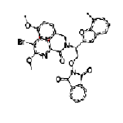 COc1ccc(CN(C(=O)c2ccc(Br)c(OC)n2)C(CON2C(=O)c3ccccc3C2=O)c2cc3cccc(C)c3o2)cc1